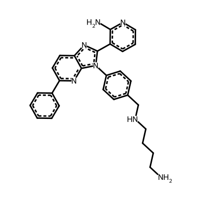 NCCCCNCc1ccc(-n2c(-c3cccnc3N)nc3ccc(-c4ccccc4)nc32)cc1